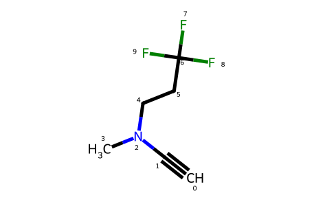 C#CN(C)CCC(F)(F)F